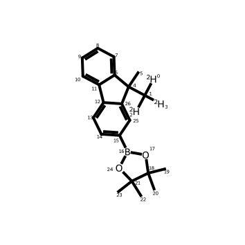 [2H]C([2H])([2H])C1(C)c2ccccc2-c2ccc(B3OC(C)(C)C(C)(C)O3)cc21